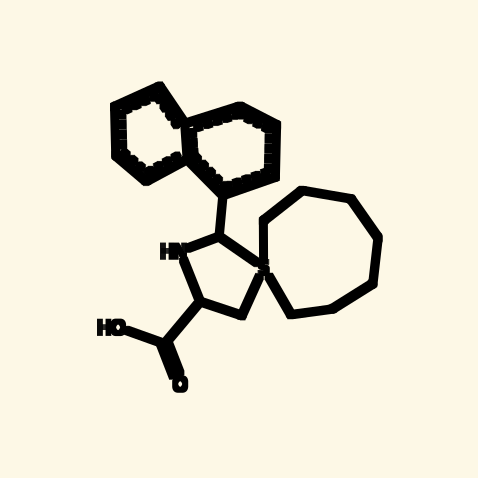 O=C(O)C1CS2(CCCCCCC2)C(c2cccc3ccccc23)N1